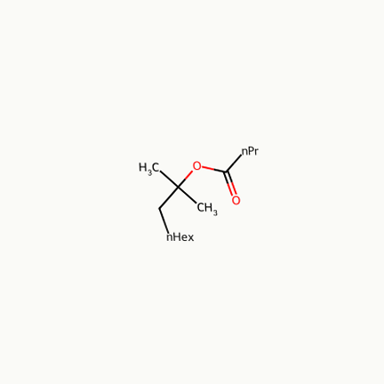 C[CH]CCCCCC(C)(C)OC(=O)CCC